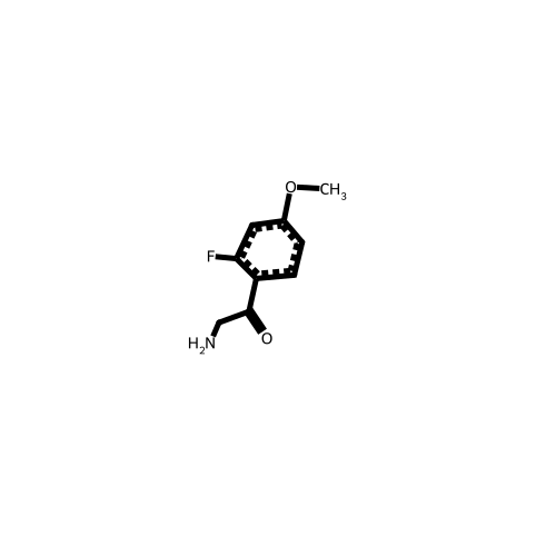 COc1ccc(C(=O)CN)c(F)c1